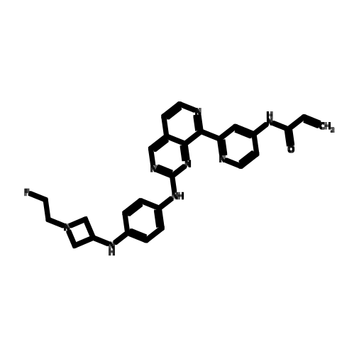 C=CC(=O)Nc1ccnc(-c2nccc3cnc(Nc4ccc(NC5CN(CCF)C5)cc4)nc23)c1